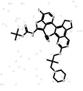 CC(C)(COc1ncc2c3c(c(-c4ncc(F)c5sc(NC(=O)OC(C)(C)C)c(C#N)c45)c(F)c2n1)COC3)CN1CCOCC1